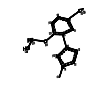 Cn1ccc(-c2cc(C(F)(F)F)ccc2OBO)n1